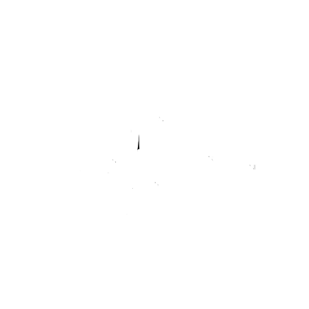 Cc1ccccc1C[C@H](NC(=O)[C@H]1CCCN1C(C)C)C(=O)NCc1ccc(N)nc1